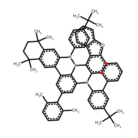 Cc1cccc(C)c1-c1cc2c3c(c1)N(c1ccc(C(C)(C)C)cc1-c1ccccc1)c1ccc4oc5ccccc5c4c1B3N(c1ccc(C(C)(C)C)cc1)c1cc3c(cc1-2)C(C)(C)CCC3(C)C